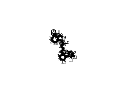 C[C@@H](CCCC1(O[Si](C)(C)C(C)(C)C)CCCC1)[C@H]1CC[C@H]2C(=O)CCC[C@]12C